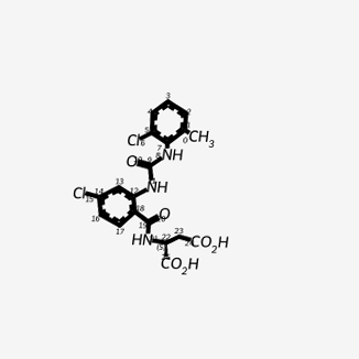 Cc1cccc(Cl)c1NC(=O)Nc1cc(Cl)ccc1C(=O)N[C@@H](CC(=O)O)C(=O)O